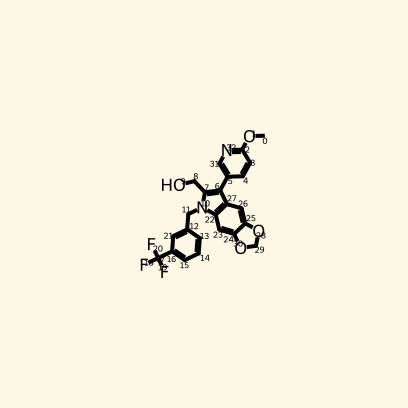 COc1ccc(-c2c(CO)n(Cc3cccc(C(F)(F)F)c3)c3cc4c(cc23)OCO4)cn1